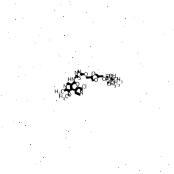 COc1c(C)ncc(C(=O)Nc2nnc(OCC3COC(CO[Si](C)(C)C(C)(C)C)CO3)s2)c1-c1ccnc(Cl)c1